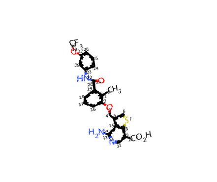 Cc1c(OCc2csc3c(C(=O)O)cnc(N)c23)cccc1C(=O)Nc1cccc(OC(F)(F)F)c1